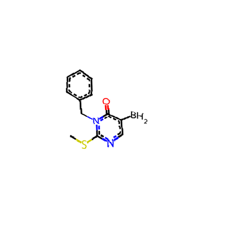 Bc1cnc(SC)n(Cc2ccccc2)c1=O